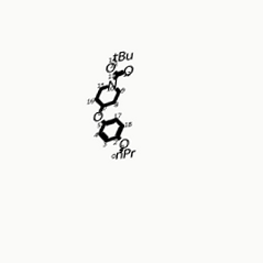 CCCOc1ccc(OC2CCN(C(=O)OC(C)(C)C)CC2)cc1